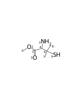 COC(=O)C(N)C(C)(C)S